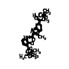 Cn1c(C(=O)Nc2cccc(B3OC(C)(C)C(C)(C)O3)c2Cl)nc2c1CCN(C(=O)OC(C)(C)C)C2